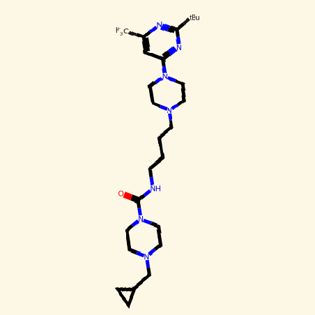 CC(C)(C)c1nc(N2CCN(CCCCNC(=O)N3CCN(CC4CC4)CC3)CC2)cc(C(F)(F)F)n1